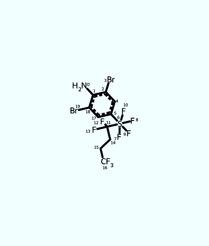 Nc1c(Br)cc(S(F)(F)(F)(F)C(F)(F)CCC(F)(F)F)cc1Br